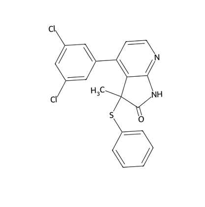 CC1(Sc2ccccc2)C(=O)Nc2nccc(-c3cc(Cl)cc(Cl)c3)c21